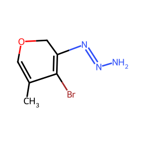 CC1=COCC(N=NN)=C1Br